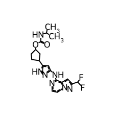 CC(C)NC(=O)OC1CCC(c2cc(Nc3nccn4nc(C(F)F)cc34)n[nH]2)C1